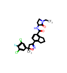 O=C(NC1CCN(CC(F)(F)F)C1=O)c1ccc(C2=NOC(c3cc(Cl)c(F)c(Cl)c3)(C(F)(F)F)C2)c2c1CCC2